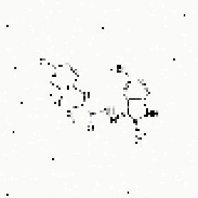 CC(Oc1ccc(Cl)cc1Cl)C(=O)N/N=C1/C(=O)Nc2ccc(Br)cc21